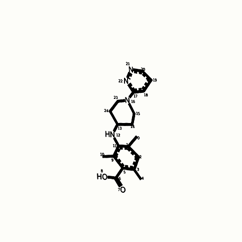 Cc1cc(C)c(C(=O)O)c(C)c1NC1CCN(c2cccnn2)CC1